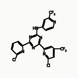 FC(F)(F)c1cc(Cl)nc(-c2nc(Nc3ccnc(C(F)(F)F)c3)nc(-c3cccc(Cl)n3)n2)c1